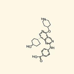 O=C(O)c1ccc(Nc2ncc3c(OC4CCNCC4)ncc([C@H]4CC[C@H](O)CC4)c3n2)cc1